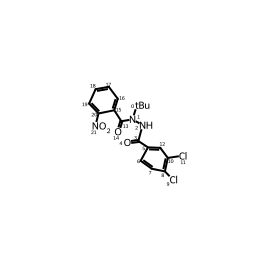 CC(C)(C)N(NC(=O)c1ccc(Cl)c(Cl)c1)C(=O)c1ccccc1[N+](=O)[O-]